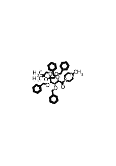 CN1CCN(C(=O)[C@H](OCc2ccccc2)[C@@H](OCc2ccccc2)[C@H](OCc2ccccc2)C2(COCc3ccccc3)OCC(C)(C)O2)CC1